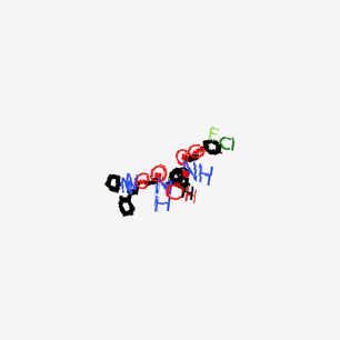 O=C(COc1ccc(Cl)c(F)c1)NC12CCC(NC(=O)COc3cc(-c4ccccc4)n(-c4ccccc4)n3)(CC1)[C@@H](O)C2